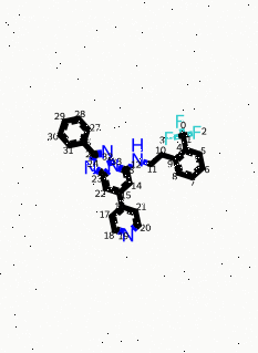 FC(F)(F)c1ccccc1CCNc1cc(-c2ccncc2)cc2nc(-c3ccccc3)nn12